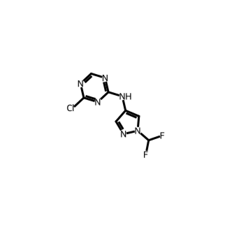 FC(F)n1cc(Nc2ncnc(Cl)n2)cn1